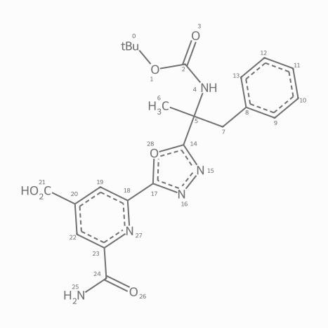 CC(C)(C)OC(=O)NC(C)(Cc1ccccc1)c1nnc(-c2cc(C(=O)O)cc(C(N)=O)n2)o1